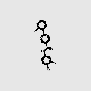 O=C(Nc1ccc(Br)c(Cl)c1)c1ccc(-c2ccccc2F)nc1